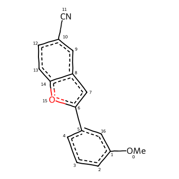 COc1cccc(-c2cc3cc(C#N)ccc3o2)c1